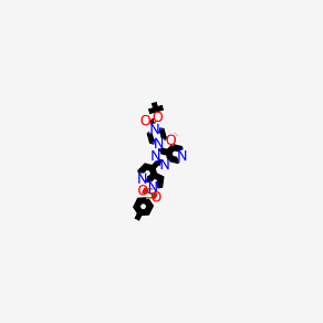 COc1cncc2nc(-c3ccnc4c3ccn4S(=O)(=O)c3ccc(C)cc3)nc(N3CCN(C(=O)OC(C)(C)C)CC3)c12